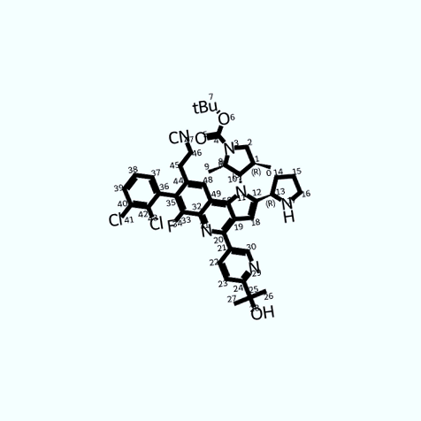 C[C@@H]1CN(C(=O)OC(C)(C)C)[C@H](C)[C@H]1n1c([C@H]2CCCN2)cc2c(-c3ccc(C(C)(C)O)nc3)nc3c(F)c(-c4cccc(Cl)c4Cl)c(CCC#N)cc3c21